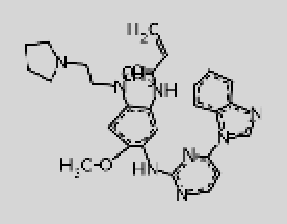 C=CC(=O)Nc1cc(Nc2nccc(-n3cnc4ccccc43)n2)c(OC)cc1N(C)CCN1CCCC1